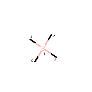 C[B-](C)(C)C